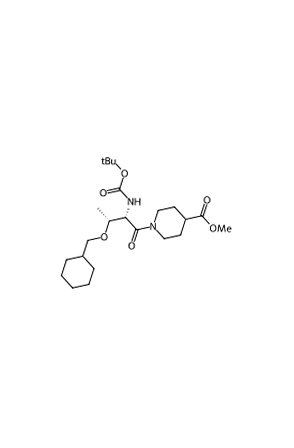 COC(=O)C1CCN(C(=O)[C@@H](NC(=O)OC(C)(C)C)[C@@H](C)OCC2CCCCC2)CC1